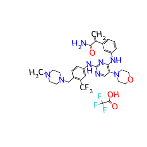 C=C(C(N)=O)c1cccc(Nc2nc(Nc3ccc(CN4CCN(C)CC4)c(C(F)(F)F)c3)ncc2N2CCOCC2)c1.O=C(O)C(F)(F)F